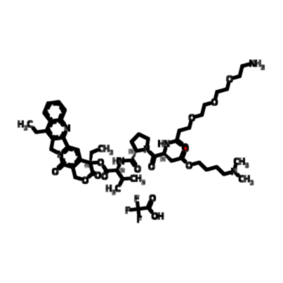 CCc1c2c(nc3ccccc13)-c1cc3c(c(=O)n1C2)COC(=O)[C@@]3(CC)OC(=O)[C@@H](NC(=O)[C@@H]1CCCN1C(=O)[C@H](CC(=O)OCCCCN(C)C)NC(=O)CCOCCOCCOCCN)C(C)C.O=C(O)C(F)(F)F